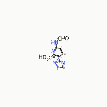 O=CNc1ccc(-n2nccn2)c(C(=O)O)n1